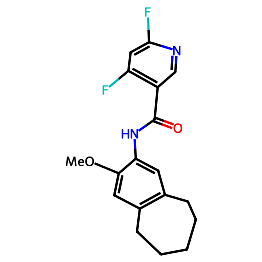 COc1cc2c(cc1NC(=O)c1cnc(F)cc1F)CCCCC2